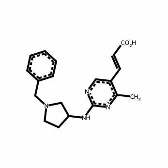 Cc1nc(NC2CCN(Cc3ccccc3)C2)ncc1C=CC(=O)O